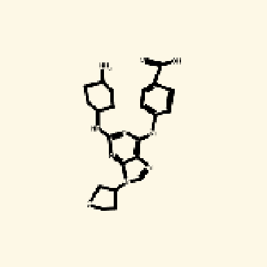 NC1CCC(Nc2nc(Nc3ccc(C(=O)O)cc3)c3ncn(C4CCSC4)c3n2)CC1